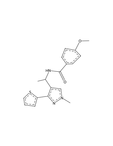 COc1ccc(C(=O)NC(C)c2cn(C)nc2-c2cccs2)cc1